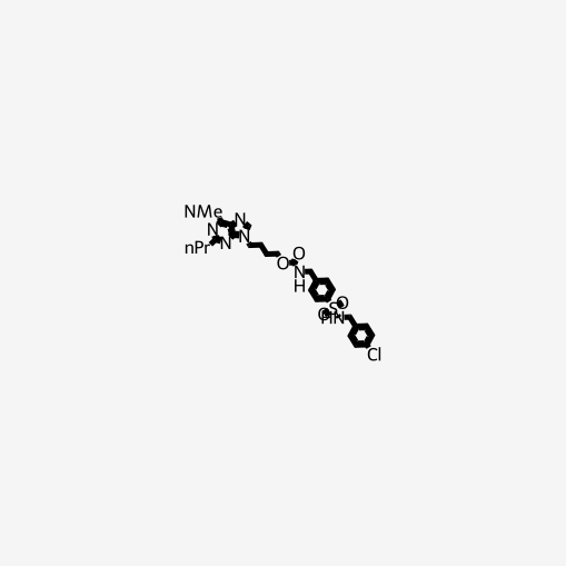 CCCc1nc(NC)c2ncn(CCCCOC(=O)NCc3ccc(S(=O)(=O)NCc4ccc(Cl)cc4)cc3)c2n1